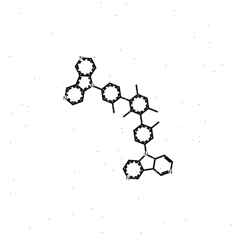 Cc1cc(N2c3ccncc3C3C=NC=CC32)ccc1-c1c(C)cc(C)c(-c2ccc(-n3c4ccncc4c4cnccc43)cc2C)c1C